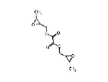 CC1OC1COC(=O)C(=O)OCC1OC1C